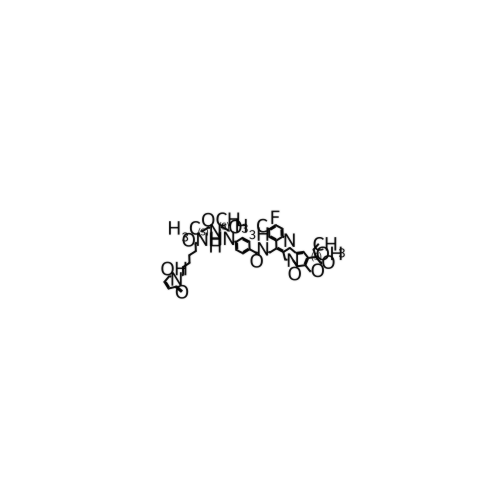 CC[C@@]1(O)C(=O)OCc2c1cc1n(c2=O)Cc2c-1nc1cc(F)c(C)cc1c2CNC(=O)c1ccc(NC(=O)[C@H](C)NC(=O)[C@H](C)NC(=O)CCCCCN2C(=O)C=CC2O)cc1